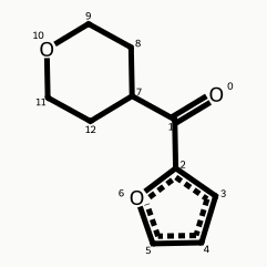 O=C(c1ccco1)C1CCOCC1